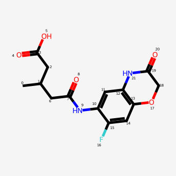 CC(CC(=O)O)CC(=O)Nc1cc2c(cc1F)OCC(=O)N2